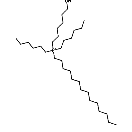 CCCCCCCCCCCCCC[P+](CCCCCC)(CCCCCC)CCCCCCO